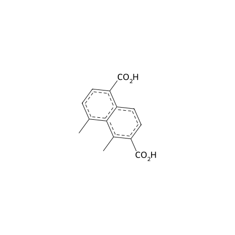 Cc1ccc(C(=O)O)c2ccc(C(=O)O)c(C)c12